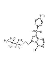 Cc1ccc(S(=O)(=O)n2cc(CCO[Si](C)(C)C(C)(C)C)c3c(Cl)ncnc32)cc1